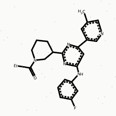 CCC(=O)N1CCCC(c2nc(Nc3cccc(F)c3)cc(-c3cncc(C)c3)n2)C1